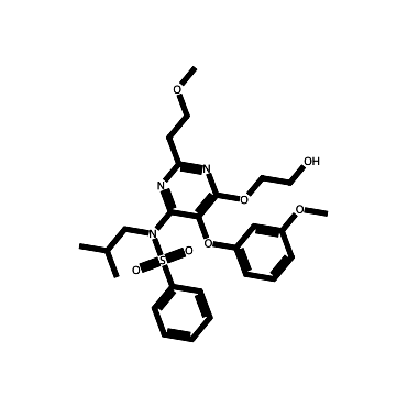 COCCc1nc(OCCO)c(Oc2cccc(OC)c2)c(N(CC(C)C)S(=O)(=O)c2ccccc2)n1